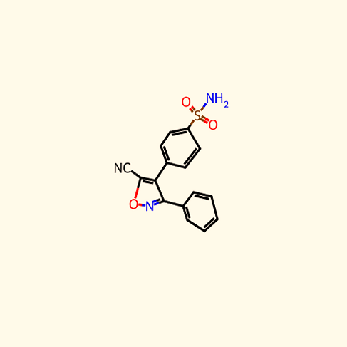 N#Cc1onc(-c2ccccc2)c1-c1ccc(S(N)(=O)=O)cc1